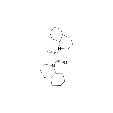 O=C(C(=O)N1CCCC2CCCCC21)N1CCCC2CCCCC21